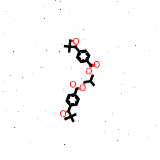 CC(COC(=O)c1ccc(C2OCC2(C)C)cc1)COC(=O)c1ccc(C2OCC2(C)C)cc1